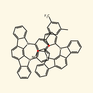 Cc1cc(-c2cc(-n3c4ccccc4c4ccc5c6ccccc6n(-c6ccccc6)c5c43)c(C#N)c(-n3c4ccccc4c4ccc5c6ccccc6n(-c6ccccc6)c5c43)c2)cc(C(F)(F)F)c1